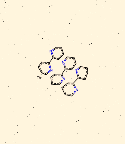 [Tb].c1ccc(-c2ccccn2)nc1.c1ccc(-c2ccccn2)nc1.c1ccc(-c2ccccn2)nc1